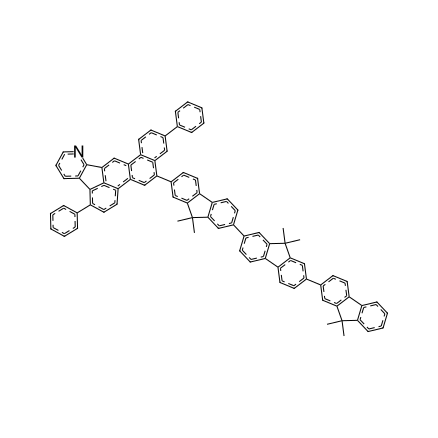 CC1(C)c2ccccc2-c2ccc(-c3ccc4c(c3)C(C)(C)c3cc(-c5ccc6c(c5)C(C)(C)c5cc(-c7cc8c9ccc(-c%10ccccc%10)c%10c9c(cc8c8ccc(-c9ccccc9)cc78)-c7ncccc7-%10)ccc5-6)ccc3-4)cc21